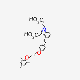 Cc1cc(C)c(OCCCCOc2ccc(/C=C/c3cccc4c3c(CC(=O)O)cn4CCCC(=O)O)cc2)c(C)c1